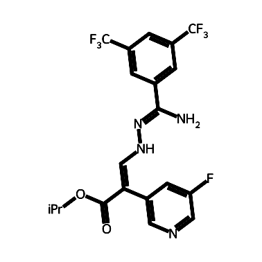 CC(C)OC(=O)/C(=C/N/N=C(\N)c1cc(C(F)(F)F)cc(C(F)(F)F)c1)c1cncc(F)c1